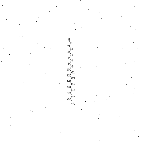 C=CC[CH]CCCCCCCCCCCCCCCCCC